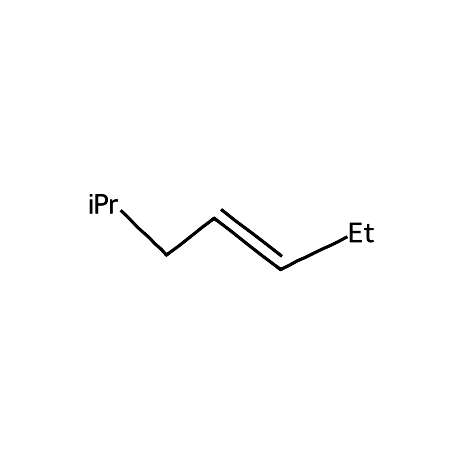 [CH2]C/C=C/CC(C)C